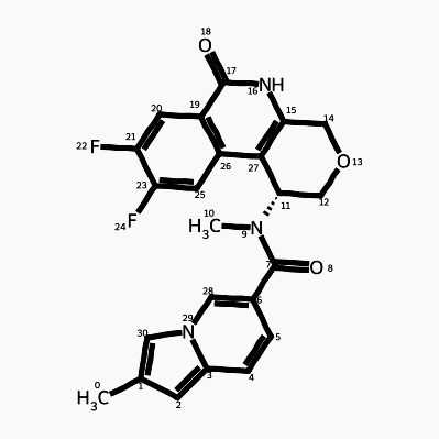 Cc1cc2ccc(C(=O)N(C)[C@H]3COCc4[nH]c(=O)c5cc(F)c(F)cc5c43)cn2c1